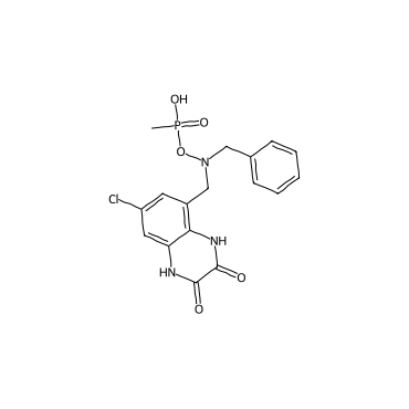 CP(=O)(O)ON(Cc1ccccc1)Cc1cc(Cl)cc2[nH]c(=O)c(=O)[nH]c12